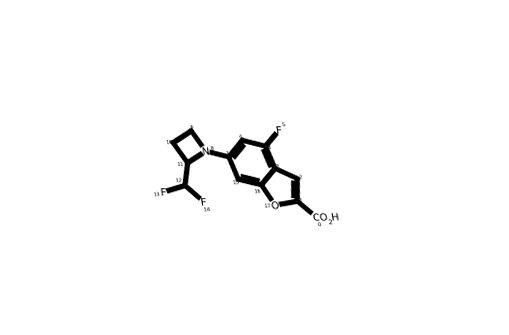 O=C(O)c1cc2c(F)cc(N3CCC3C(F)F)cc2o1